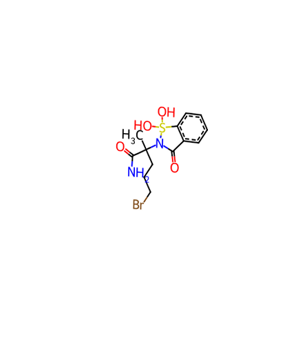 CC(CCCBr)(C(N)=O)N1C(=O)c2ccccc2S1(O)O